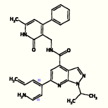 C=C/C=C(\C=C/N)c1cc(C(=O)NCc2c(-c3ccccc3)cc(C)[nH]c2=O)c2cnn(C(C)C)c2n1